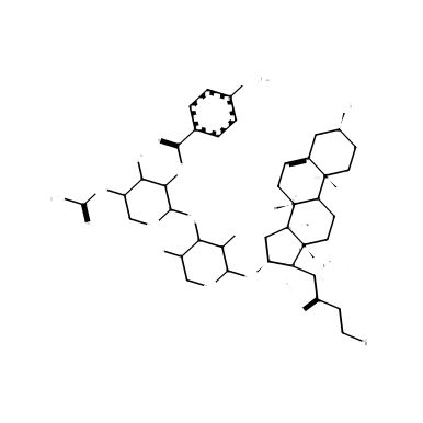 CCCC(=O)OC1COC(OC2C(O)COC(O[C@H]3C[C@H]4[C@@H]5CC=C6C[C@@H](O)CC[C@]6(C)C5CC[C@]4(C)[C@@]3(O)[C@H](C)C(=O)CCC(C)C)C2C)C(OC(=O)c2ccc(OC)cc2)C1O